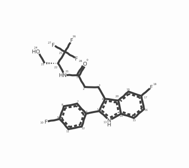 O=C(CCc1c(-c2ccc(F)cc2)[nH]c2ccc(F)cc12)N[C@H](CO)C(F)(F)F